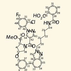 COC(=O)[C@@H]1C[C@H](Oc2cccc(-c3cccc4nn(CCCCCCNC(=O)c5ccccc5C(=O)O)cc34)c2)CN1C(=O)c1cnn(-c2ccc(F)cc2Cl)c1